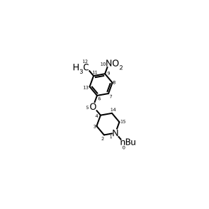 CCCCN1CCC(Oc2ccc([N+](=O)[O-])c(C)c2)CC1